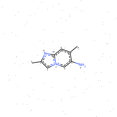 Cc1cn2cc(N)c(C)cc2n1